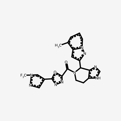 Cc1cccn2nc(C3c4nc[nH]c4CCN3C(=O)c3nnc(-c4cnn(C(F)(F)F)c4)o3)cc12